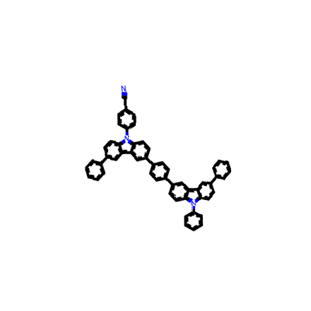 N#Cc1ccc(-n2c3ccc(-c4ccccc4)cc3c3cc(-c4ccc(-c5ccc6c(c5)c5cc(-c7ccccc7)ccc5n6-c5ccccc5)cc4)ccc32)cc1